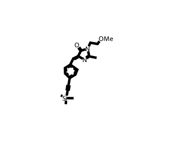 COCCN1C(=O)C(=Cc2ccc(C#C[Si](C)(C)C)cc2)N=C1C